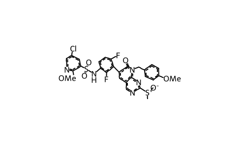 COc1ccc(Cn2c(=O)c(-c3c(F)ccc(NS(=O)(=O)c4cc(Cl)cnc4OC)c3F)cc3cnc([S+](C)[O-])nc32)cc1